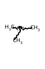 CCCCCCCc1n(CCCCCC)cc[n+]1CCCC